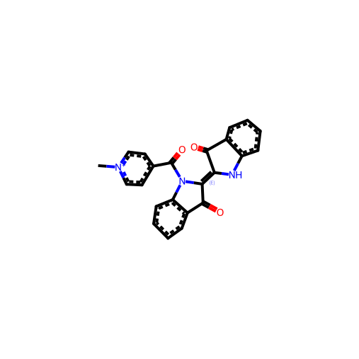 C[n+]1ccc(C(=O)N2/C(=C3/Nc4ccccc4C3=O)C(=O)c3ccccc32)cc1